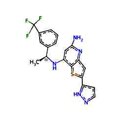 C[C@H](Nc1cc(N)nc2cc(-c3ccn[nH]3)sc12)c1cccc(C(F)(F)F)c1